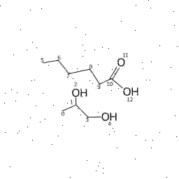 CC(O)CO.CCCCCC(=O)O